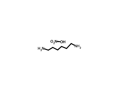 NCCCCCCN.O=[N+]([O-])O